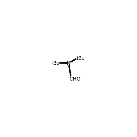 CCC(C)N([C]=O)C(C)(C)C